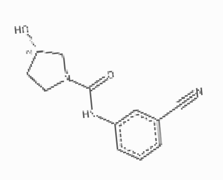 N#Cc1cccc(NC(=O)N2CC[C@H](O)C2)c1